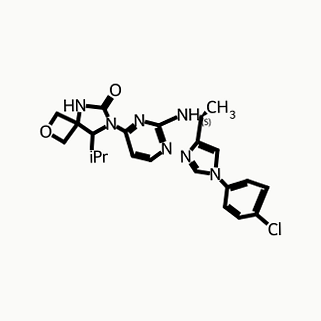 CC(C)C1N(c2ccnc(N[C@@H](C)c3cn(-c4ccc(Cl)cc4)cn3)n2)C(=O)NC12COC2